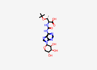 C[C@@H](OC(C)(C)C)C(NC(=O)Nc1ncnc2c1ncn2C1OC[C@@H](O)[C@H](O)[C@@H]1O)C(=O)O